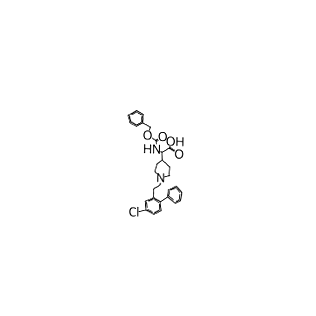 O=C(N[C@@H](C(=O)O)C1CCN(CCc2cc(Cl)ccc2-c2ccccc2)CC1)OCc1ccccc1